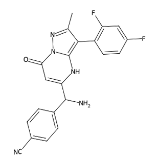 Cc1nn2c(=O)cc(C(N)c3ccc(C#N)cc3)[nH]c2c1-c1ccc(F)cc1F